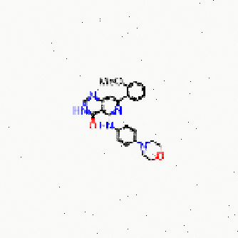 COc1ccccc1-c1cc2nc[nH]c(=O)c2c(Nc2ccc(N3CCOCC3)cc2)n1